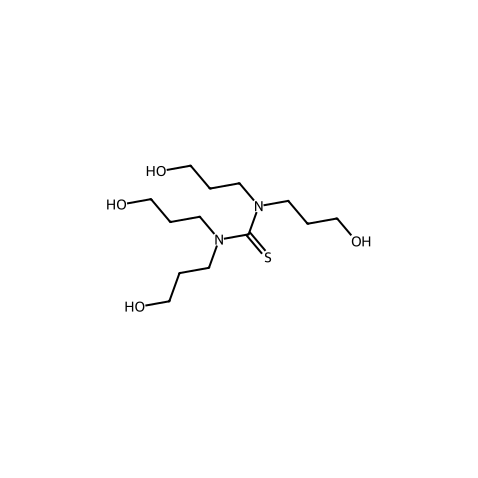 OCCCN(CCCO)C(=S)N(CCCO)CCCO